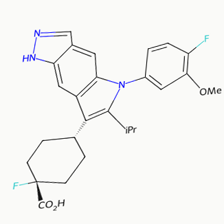 COc1cc(-n2c(C(C)C)c([C@H]3CC[C@](F)(C(=O)O)CC3)c3cc4[nH]ncc4cc32)ccc1F